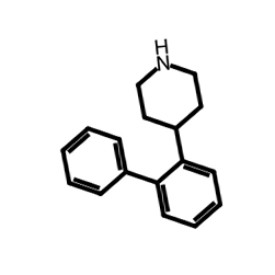 c1ccc(-c2ccccc2C2CCNCC2)cc1